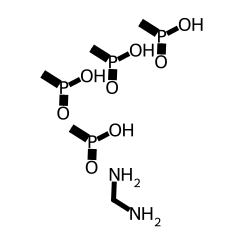 C=P(=O)O.C=P(=O)O.C=P(=O)O.C=P(=O)O.NCN